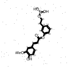 COc1cc(/C=C/C(=O)Oc2cccc(CCON(O)O)c2)ccc1O